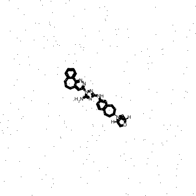 Nc1nc(Nc2ccc3c(c2)CC[C@H](N2C[C@H]4C[C@@H]2CO4)CC3)nn1-c1cc2c(nn1)-c1ccccc1CCC2